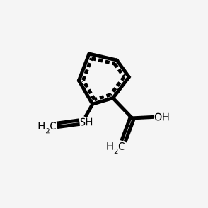 C=[SH]c1ccccc1C(=C)O